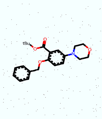 CC(C)(C)OC(=O)c1cc(N2CCOCC2)ccc1OCc1ccccc1